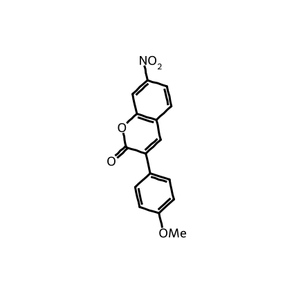 COc1ccc(-c2cc3ccc([N+](=O)[O-])cc3oc2=O)cc1